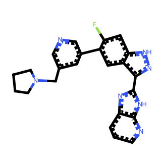 Fc1cc2[nH]nc(-c3nc4cccnc4[nH]3)c2cc1-c1cncc(CN2CCCC2)c1